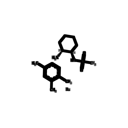 Cc1ccc(C)c(C)c1.N[C@@H]1CCCC[C@H]1NS(=O)(=O)C(F)(F)F.[Ru]